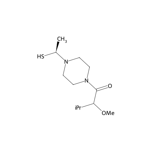 COC(C(=O)N1CCN([C@H](C)S)CC1)C(C)C